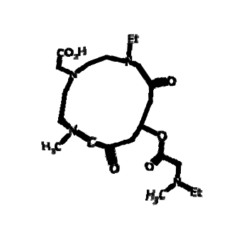 CCN(C)CC(=O)OC1CC(=O)CN(C)CCN(CC(=O)O)CCN(CC)CC(=O)C1